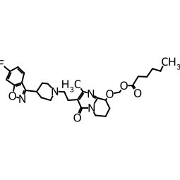 CCCCCC(=O)OCOC1CCCn2c1nc(C)c(CCN1CCC(c3noc4cc(F)ccc34)CC1)c2=O